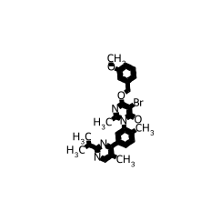 COc1cccc(COc2nc(C)n(-c3cc(-c4nc(C(C)C)ncc4C)ccc3C)c(=O)c2Br)c1